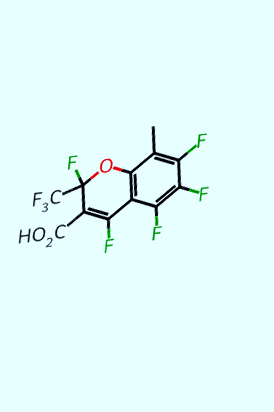 Cc1c(F)c(F)c(F)c2c1OC(F)(C(F)(F)F)C(C(=O)O)=C2F